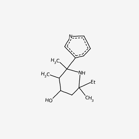 CCC1(C)CC(O)C(C)C(C)(c2cccnc2)N1